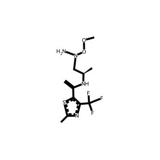 C=C(N[C@H](C)CN(N)OOC)c1sc(C)nc1C(F)(F)F